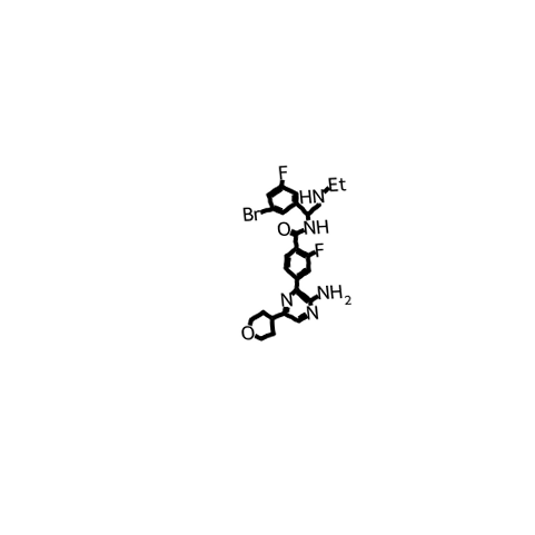 CCNCC(NC(=O)c1ccc(-c2nc(C3CCOCC3)cnc2N)cc1F)c1cc(F)cc(Br)c1